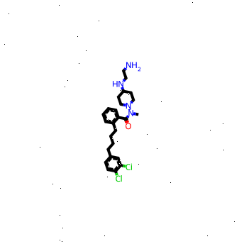 CN(C(=O)c1ccccc1CCCCc1ccc(Cl)c(Cl)c1)N1CCC(NCCN)CC1